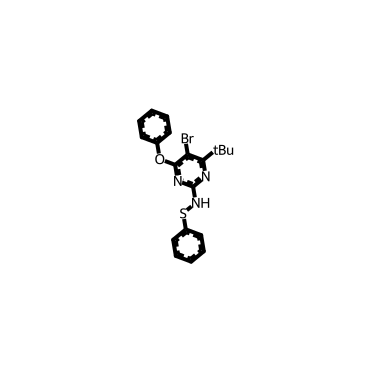 CC(C)(C)c1nc(NSc2ccccc2)nc(Oc2ccccc2)c1Br